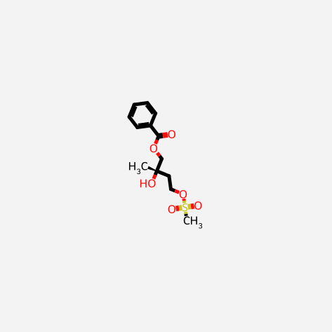 C[C@](O)(CCOS(C)(=O)=O)COC(=O)c1ccccc1